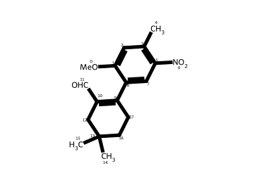 COc1cc(C)c([N+](=O)[O-])cc1C1=C(C=O)CC(C)(C)CC1